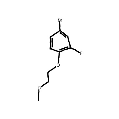 COCCOc1c[c]c(Br)cc1F